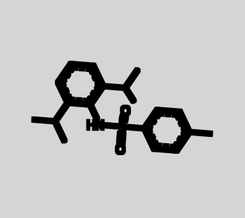 Cc1ccc(S(=O)(=O)Nc2c(C(C)C)cccc2C(C)C)cc1